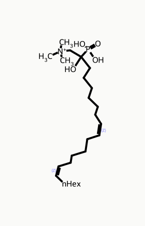 CCCCCC/C=C\CCCC/C=C\CCCCCCC(O)(C[N+](C)(C)C)P(=O)(O)O